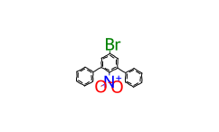 O=[N+]([O-])c1c(-c2ccccc2)cc(Br)cc1-c1ccccc1